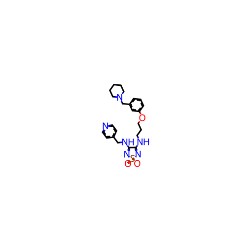 O=S1(=O)N=C(NCCCOc2cccc(CN3CCCCC3)c2)C(NCc2ccncc2)=N1